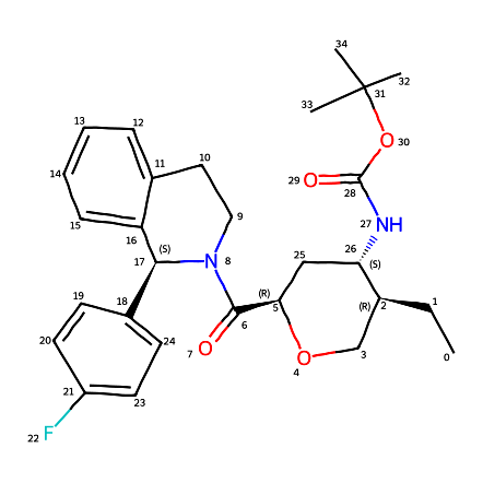 CC[C@H]1CO[C@@H](C(=O)N2CCc3ccccc3[C@@H]2c2ccc(F)cc2)C[C@@H]1NC(=O)OC(C)(C)C